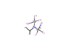 CC(C)N([Si](I)(I)I)[Si](I)(I)I